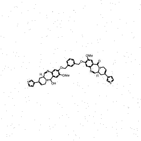 COc1cc2c(cc1OCc1cccc(COc3cc4c(cc3OC)C(O)N3CC=C(c5ccsc5)C[C@H]3C=N4)c1)N=C[C@@H]1CC(c3ccsc3)=CCN1C2=O